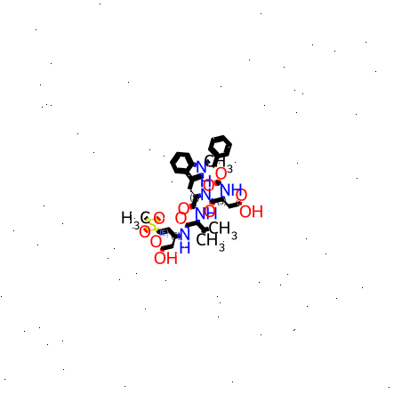 CC(C)C(NC(=O)[C@H](Cc1cn(C)c2ccccc12)NC(=O)[C@H](CC(=O)O)NC(=O)OCc1ccccc1)C(=O)N[C@H](/C=C/S(C)(=O)=O)CC(=O)O